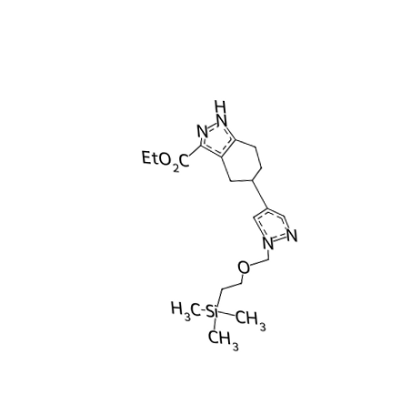 CCOC(=O)c1n[nH]c2c1CC(c1cnn(COCC[Si](C)(C)C)c1)CC2